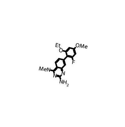 CCOc1cc(OC)cc(F)c1-c1ccc2c(NC)nc(N)nc2c1